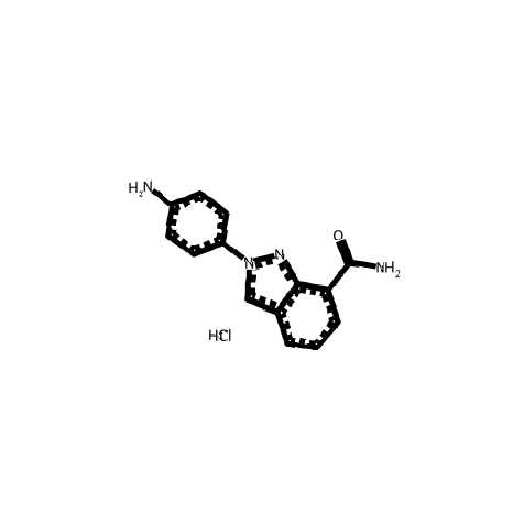 Cl.NC(=O)c1cccc2cn(-c3ccc(N)cc3)nc12